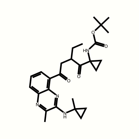 CCC(CC(=O)c1cccc2nc(C)c(NC3(C)CC3)nc12)C(=O)C1(NC(=O)OC(C)(C)C)CC1